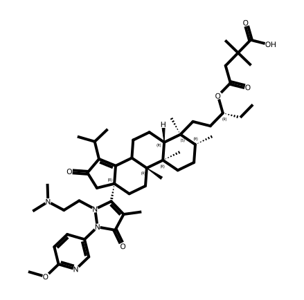 CC[C@H](CC[C@@]1(C)[C@H](C)CC[C@]2(C)[C@@H]1CCC1C3=C(C(C)C)C(=O)C[C@]3(c3c(C)c(=O)n(-c4ccc(OC)nc4)n3CCN(C)C)CC[C@]12C)OC(=O)CC(C)(C)C(=O)O